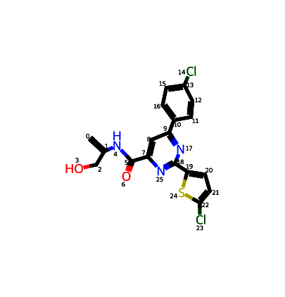 C=C(CO)NC(=O)c1cc(-c2ccc(Cl)cc2)nc(-c2ccc(Cl)s2)n1